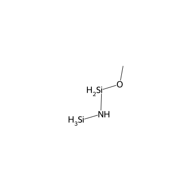 CO[SiH2]N[SiH3]